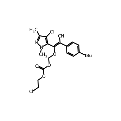 Cc1nn(C)c(/C(OCOC(=O)OCCCl)=C(\C#N)c2ccc(C(C)(C)C)cc2)c1Cl